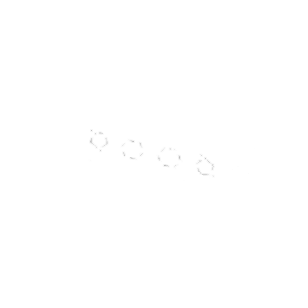 CCC(C)c1nc2c([nH]1)-c1ccc(-c3ccc4c(c3)COc3nc(C(C)C)[nH]c3-4)cc1OC2